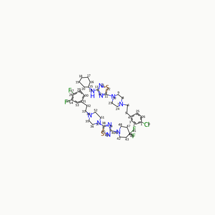 Clc1ccc(CCN2CCN(c3nc(NC4CCCCC4)ns3)CC2)cc1.Fc1ccc(CCN2CCN(c3nc(N4CCC(F)(F)CC4)ns3)CC2)cc1F